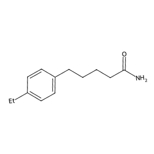 CCc1ccc(CCCCC(N)=O)cc1